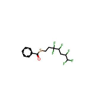 O=C(SCCC(F)(F)C(F)CC(F)C(F)F)c1ccccc1